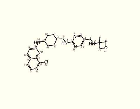 CC1(NCc2cnc(NC[C@H]3CC[C@H](Nc4ccc5ccnc(Cl)c5n4)CC3)nc2)COC1